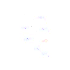 CC(N)C(=N)C(N)C(=N)C(=O)NN